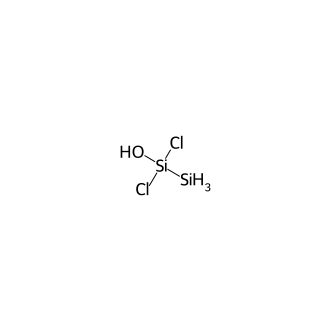 O[Si]([SiH3])(Cl)Cl